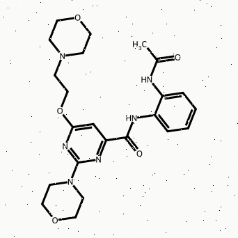 CC(=O)Nc1ccccc1NC(=O)c1cc(OCCN2CCOCC2)nc(N2CCOCC2)n1